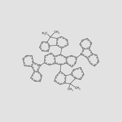 CC1(C)c2ccccc2-c2c(-c3c4ccc(-n5c6ccccc6c6ccccc65)cc4c(-c4cccc5c4-c4ccccc4C5(C)C)c4ccc(-n5c6ccccc6c6ccccc65)cc34)cccc21